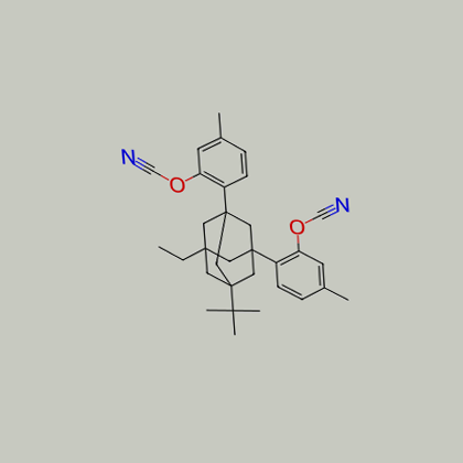 CCC12CC3(c4ccc(C)cc4OC#N)CC(c4ccc(C)cc4OC#N)(C1)CC(C(C)(C)C)(C2)C3